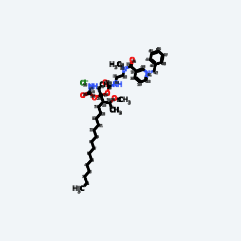 CCCCCCCCCCCCCCCC(C(C)OC)C(CC)(OC(N)=O)OC(=O)NCCN(C)C(=O)c1ccc[n+](Cc2ccccc2)c1.[Cl-]